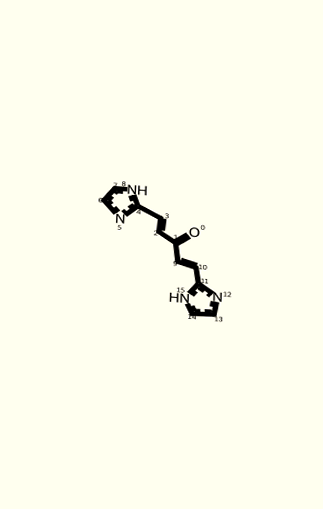 O=C(C=Cc1ncc[nH]1)C=Cc1ncc[nH]1